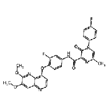 COc1cc2nccc(Oc3ccc(NC(=O)c4nc(C)cn(-c5ccc(F)cc5)c4=O)cc3F)c2nc1OC